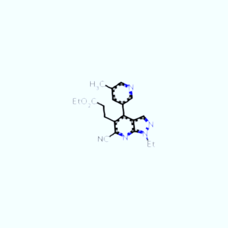 CCOC(=O)CCc1c(C#N)nc2c(cnn2CC)c1-c1cncc(C)c1